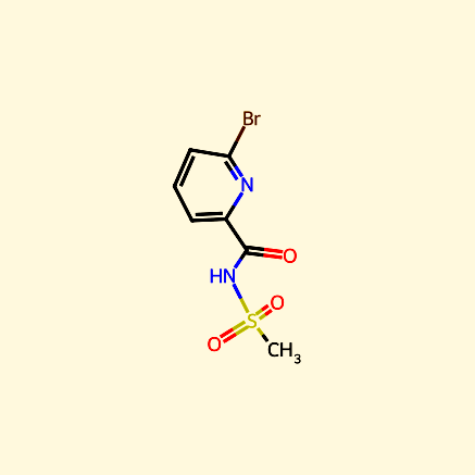 CS(=O)(=O)NC(=O)c1cccc(Br)n1